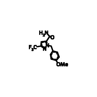 COc1ccc(Cn2nc(C(F)(F)F)cc2C(N)=O)cc1